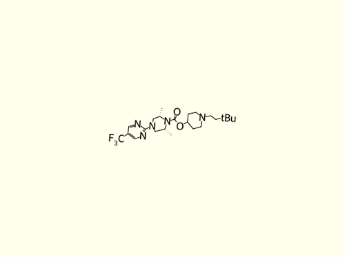 C[C@@H]1CN(c2ncc(C(F)(F)F)cn2)C[C@H](C)N1C(=O)OC1CCN(CCC(C)(C)C)CC1